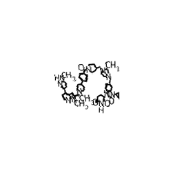 CNc1ccc(-c2ccnc3c2cc([C@H](C)N2CCC(c4ccc(C(=O)N5CCC(CN6CCN(Cc7ccc8c(c7)n(C7CC7)c(=O)n8[C@@H]7CCC(=O)NC7=O)C[C@@H]6C)CC5)cc4)CC2)n3C)cn1